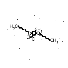 CCCCCCCCOc1cc(C(Cl)Cl)c(OCCCCCCCC)cc1C